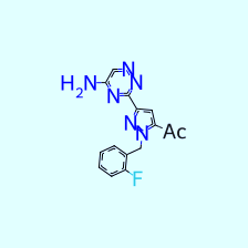 CC(=O)c1cc(-c2nncc(N)n2)nn1Cc1ccccc1F